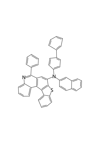 c1ccc(-c2ccc(N(c3ccc4ccccc4c3)c3cc4c(-c5ccccc5)nc5ccccc5c4c4c3sc3ccccc34)cc2)cc1